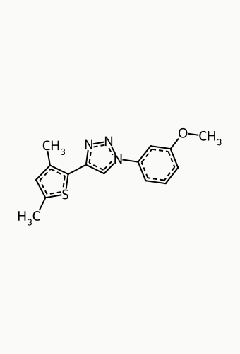 COc1cccc(-n2cc(-c3sc(C)cc3C)nn2)c1